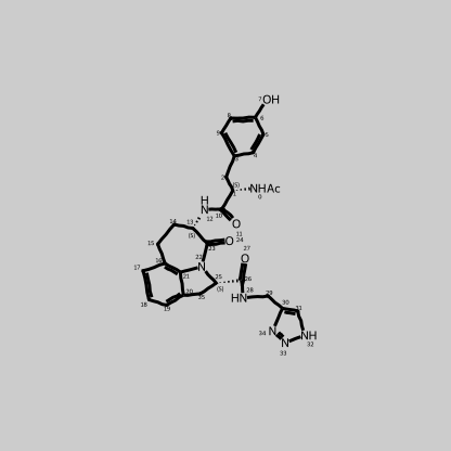 CC(=O)N[C@@H](Cc1ccc(O)cc1)C(=O)N[C@H]1CCc2cccc3c2N(C1=O)[C@H](C(=O)NCc1c[nH]nn1)C3